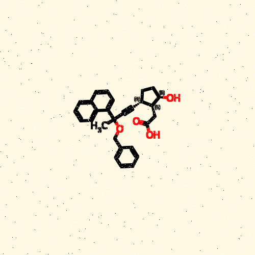 CC(C#C[C@@H]1CC[C@@H](O)[C@H]1CC(=O)O)(OCc1ccccc1)c1cccc2ccccc12